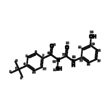 CC(C)(C)c1ccc(C(=O)N(S)C(=O)Nc2cccc(O)c2)cc1